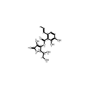 CC=Cc1ccc(O)c(O)c1C(=O)OC1=C(O)C(=O)O[C@@H]1[C@@H](O)CO